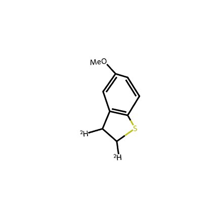 [2H]C1Sc2ccc(OC)cc2C1[2H]